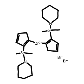 C[Si](C)(C1=[C]([Zr+2][C]2=C([Si](C)(C)N3CCCCC3)C=CC2)CC=C1)N1CCCCC1.[Br-].[Br-]